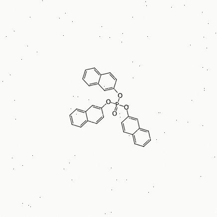 O=P(Oc1ccc2ccccc2c1)(Oc1ccc2ccccc2c1)Oc1ccc2ccccc2c1